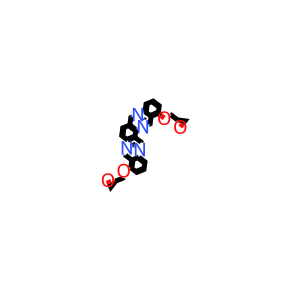 c1cc(OCC2CO2)c2c(c1)N1Cc3c(ccc4c3N3Cc5c(OCC6CO6)cccc5N(C4)C3)N(C2)C1